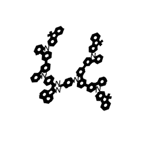 CC1(C)c2ccccc2-c2ccc(-n3c4ccccc4c4cc(-c5ccc6c(c5)c5ccccc5n6-c5ccc(-c6nc(-c7ccc(-n8c9ccc(-c%10ccc%11c(c%10)c%10ccccc%10n%11-c%10ccc%11c(c%10)C(C)(C)c%10ccccc%10-%11)cc9c9cc(-c%10ccc%11c(c%10)c%10ccccc%10n%11-c%10ccc%11c(c%10)C(C)(C)c%10ccccc%10-%11)ccc98)cc7)nc7c6-c6cccc8cccc-7c68)cc5)ccc43)cc21